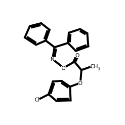 CC(Oc1ccc(Cl)cc1)C(=O)ON=C(c1ccccc1)c1ccccc1